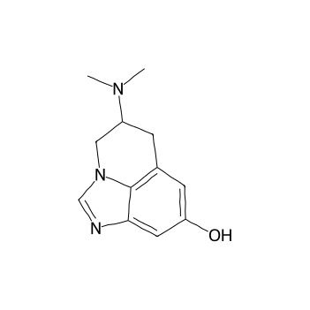 CN(C)C1Cc2cc(O)cc3ncn(c23)C1